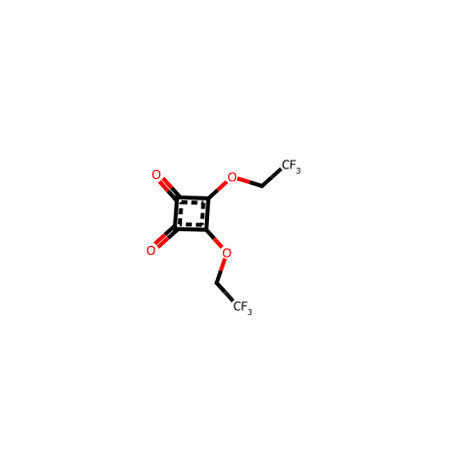 O=c1c(OCC(F)(F)F)c(OCC(F)(F)F)c1=O